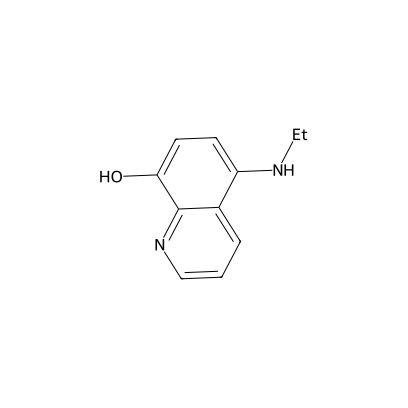 CCNc1ccc(O)c2ncccc12